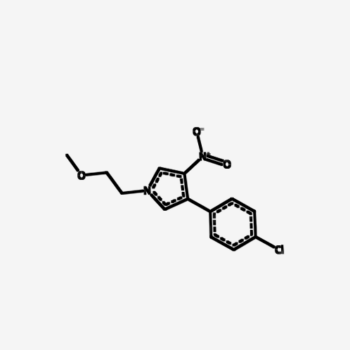 COCCn1cc(-c2ccc(Cl)cc2)c([N+](=O)[O-])c1